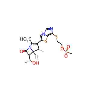 C[C@@H](O)[C@H]1C(=O)N2C(C(=O)O)=C(c3cn4cnc(SCCOS(C)(=O)=O)c4s3)[C@H](C)[C@H]12